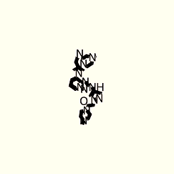 CN1CCN(C(=O)Cn2cc(Nc3nc4c(N5CC(CC#N)(N6CCN(C)CC6)C5)cccn4n3)cn2)CC1